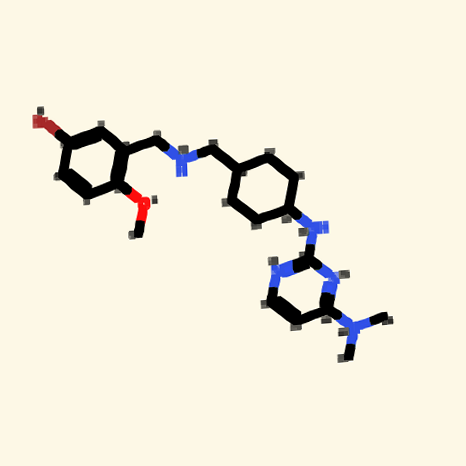 COc1ccc(Br)cc1CNCC1CCC(Nc2nccc(N(C)C)n2)CC1